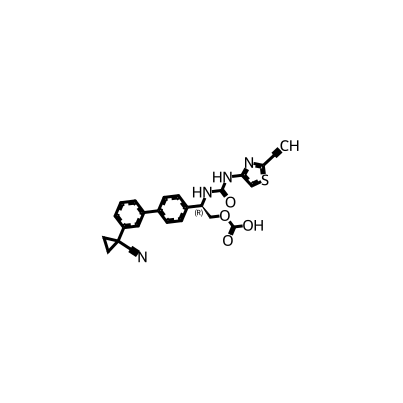 C#Cc1nc(NC(=O)N[C@@H](COC(=O)O)c2ccc(-c3cccc(C4(C#N)CC4)c3)cc2)cs1